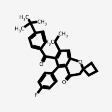 CC(C)c1cc2c(c(-c3ccc(F)cc3)c1C(=O)c1ccc(C(C)(C)C)cc1)C(=O)CC1(CCC1)O2